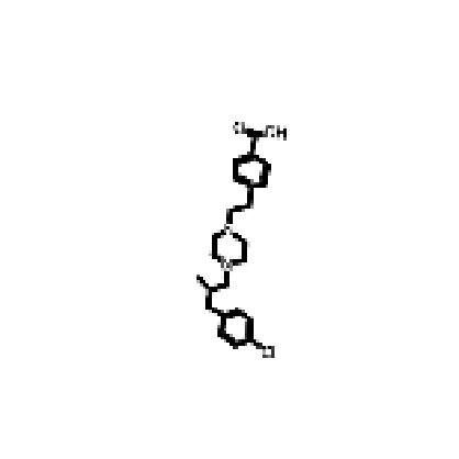 CC(Cc1ccc(Cl)cc1)CN1CCN(CCc2ccc(C(=O)O)cc2)CC1